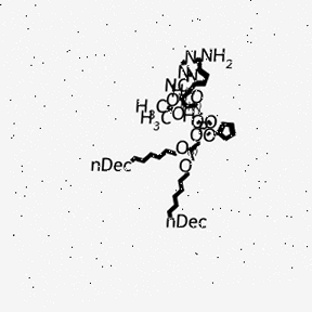 CCCCCCCCCCCCCCCCOC[C@H](COP(=O)(OC[C@H]1O[C@@](C#N)(c2ccc3c(N)ncnn23)[C@@H]2OC(C)(C)O[C@@H]21)OC1=CC=CC1)OCCCCCCCCCCCCCCCC